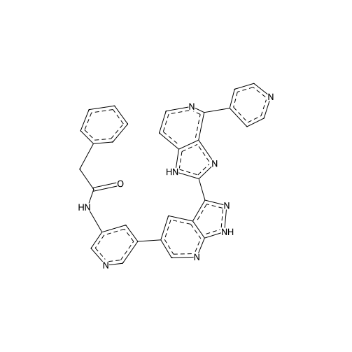 O=C(Cc1ccccc1)Nc1cncc(-c2cnc3[nH]nc(-c4nc5c(-c6ccncc6)nccc5[nH]4)c3c2)c1